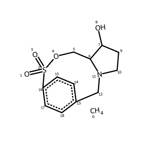 C.O=S1(=O)OCC2C(O)CCN2Cc2ccc1cc2